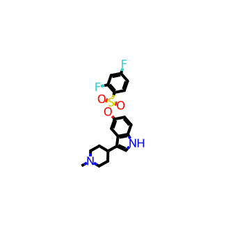 CN1CCC(c2c[nH]c3ccc(OS(=O)(=O)c4ccc(F)cc4F)cc23)CC1